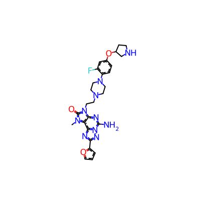 Cn1c(=O)n(CCN2CCN(c3ccc(OC4CCNC4)cc3F)CC2)c2nc(N)n3nc(-c4ccco4)nc3c21